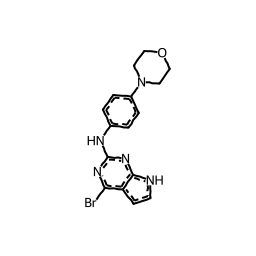 Brc1nc(Nc2ccc(N3CCOCC3)cc2)nc2[nH]ccc12